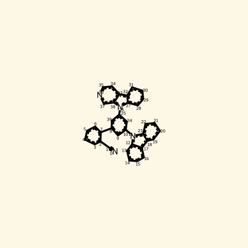 N#Cc1ccccc1-c1cc(-n2c3ccccc3c3ccccc32)cc(-n2c3ccccc3c3ccncc32)c1